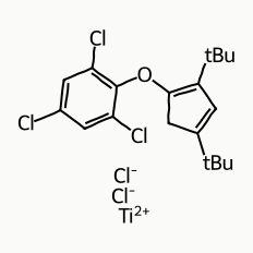 CC(C)(C)C1=CC(C(C)(C)C)=C(Oc2c(Cl)cc(Cl)cc2Cl)C1.[Cl-].[Cl-].[Ti+2]